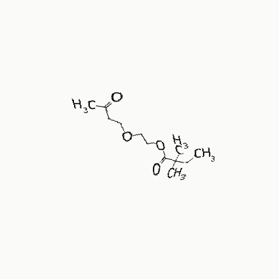 CCC(C)(C)C(=O)OCCOCCC(C)=O